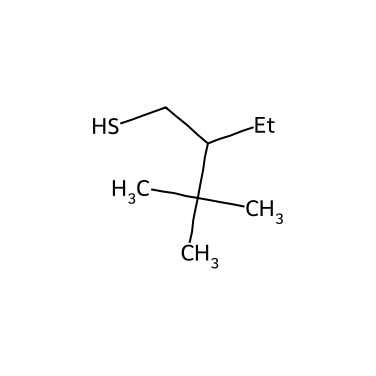 CCC(CS)C(C)(C)C